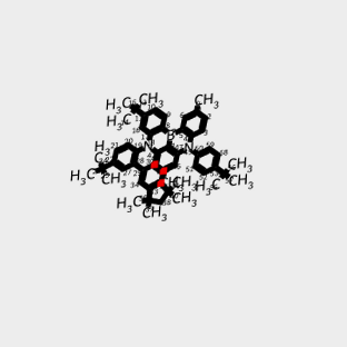 Cc1ccc2c(c1)B1c3ccc(C(C)(C)C)cc3N(c3ccc(C(C)(C)C)cc3-c3ccc4c(c3)C(C)(C)CC4(C)C)c3cc(C)cc(c31)N2c1ccc(C(C)(C)C)cc1